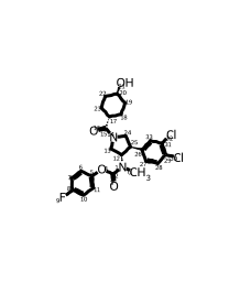 CN(C(=O)Oc1ccc(F)cc1)[C@@H]1CN(C(=O)[C@H]2CC[C@H](O)CC2)C[C@H]1c1ccc(Cl)c(Cl)c1